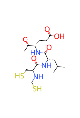 CC(=O)[C@H](CCC(=O)O)NC(=O)[C@H](CC(C)C)NC(=O)[C@H](CS)NCS